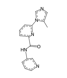 Cc1cncn1-c1cccc(C(=O)Nc2cccnc2)n1